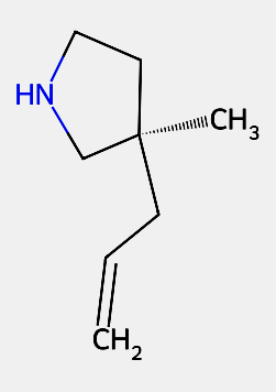 C=CC[C@]1(C)CCNC1